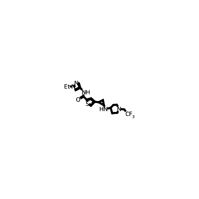 CCn1cc(NC(=O)c2cc(C3CC3NC3CCN(CC(F)(F)F)CC3)cs2)cn1